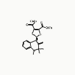 C=C1C(=C2SC(C(=O)OC)=C(C(=O)OC)S2)c2ccccc2N(C)C1(C)C